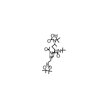 CC(=O)N[C@@](CCCCB1OC(C)(C)C(C)(C)O1)(C(=O)NC(C)(C)C)[C@H]1C[C@H](N(C(=O)O)C(C)(C)C)C1